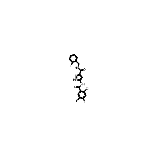 O=C(NCc1ccccc1F)c1cc(NC(=O)c2cc(F)c(F)cc2Cl)[nH]n1